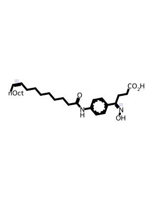 CCCCCCCC/C=C\CCCCCCCC(=O)Nc1ccc(/C(CCC(=O)O)=N\O)cc1